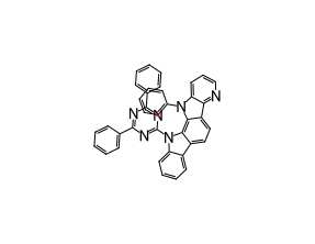 c1ccc(-c2nc(-c3ccccc3)nc(-n3c4ccccc4c4ccc5c6ncccc6n(-c6ccccc6)c5c43)n2)cc1